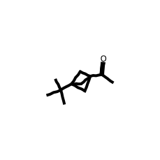 CC(=O)C12CC(C(C)(C)C)(C1)C2